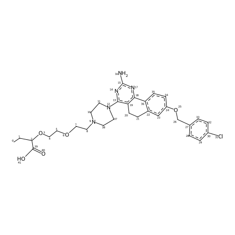 CCC(OCCOCCN1CCN(c2nc(N)nc3c2CCc2cc(OCc4ccc(Cl)cc4)ccc2-3)CC1)C(=O)O